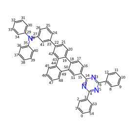 c1ccc(-c2nc(-c3ccccc3)nc(-c3ccc4c5ccc(-c6cccc(N(c7ccccc7)c7ccccc7)c6)cc5c5ccccc5c4c3)n2)cc1